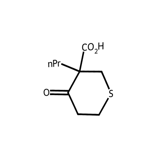 CCCC1(C(=O)O)CSCCC1=O